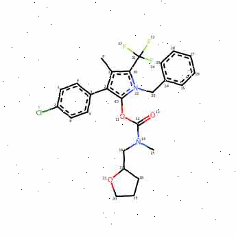 Cc1c(-c2ccc(Cl)cc2)c(OC(=O)N(C)CC2CCCO2)n(Cc2ccccc2)c1C(F)(F)F